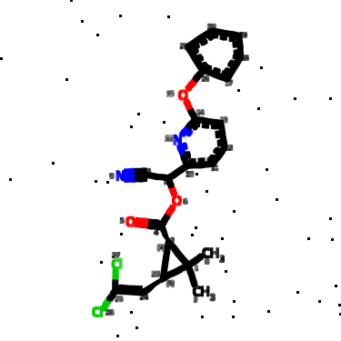 CC1(C)[C@H](C(=O)OC(C#N)c2cccc(Oc3ccccc3)n2)[C@@H]1C=C(Cl)Cl